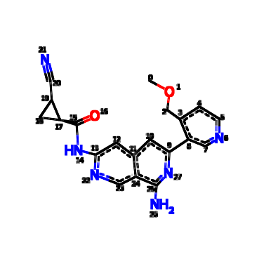 COCc1ccncc1-c1cc2cc(NC(=O)[C@H]3CC3C#N)ncc2c(N)n1